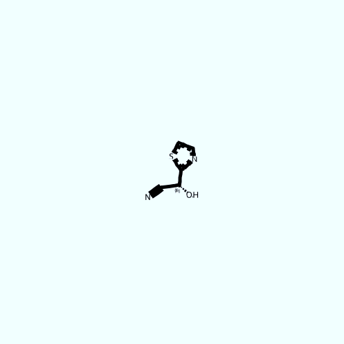 N#C[C@@H](O)c1nccs1